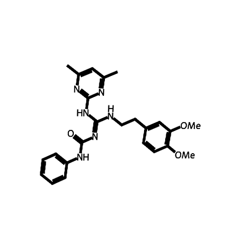 COc1ccc(CCN/C(=N/C(=O)Nc2ccccc2)Nc2nc(C)cc(C)n2)cc1OC